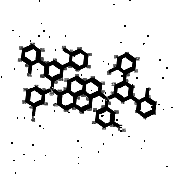 Cc1ccccc1-c1cc(-c2ccccc2C)cc(N(c2cccc(F)c2)c2ccc3ccc4c(N(c5cccc(F)c5)c5cc(-c6ccccc6C)cc(-c6ccccc6C)c5)ccc5ccc2c3c54)c1